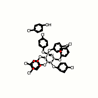 Clc1ccc(ON2P(Oc3ccc(Cl)cc3)N=P(Oc3ccc(Cl)cc3)(Oc3ccc(Cl)cc3)N(Oc3ccc(Cl)cc3)P2Oc2ccc(Cl)cc2)cc1.Oc1ccc(Cl)cc1